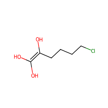 OC(O)=C(O)CCCCCl